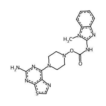 Cn1c(NC(=O)ON2CCN(c3nc(N)nc4scnc34)CC2)nc2ccccc21